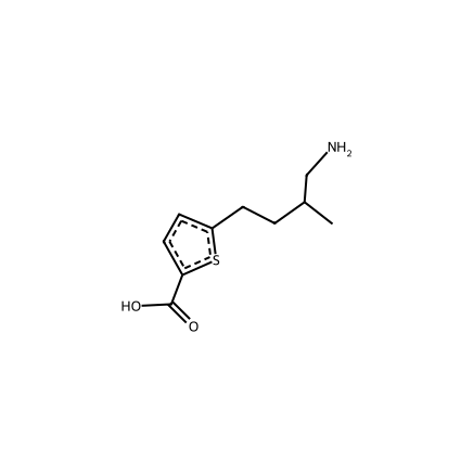 CC(CN)CCc1ccc(C(=O)O)s1